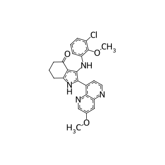 COc1cnc2c(-c3[nH]c4c(c3Nc3cccc(Cl)c3OC)C(=O)CCC4)ccnc2c1